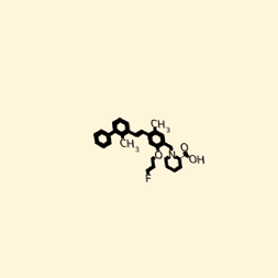 Cc1cc(CN2CCCC[C@H]2C(=O)O)c(OCCCF)cc1/C=C/c1cccc(-c2ccccc2)c1C